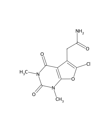 Cn1c(=O)c2c(CC(N)=O)c(Cl)oc2n(C)c1=O